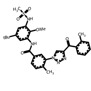 COc1c(NC(=O)c2ccc(C)c(-n3cc(C(=O)c4ccccc4C)nn3)c2)cc(C(C)(C)C)cc1NS(C)(=O)=O